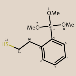 CO[Si](OC)(OC)c1ccccc1CCS